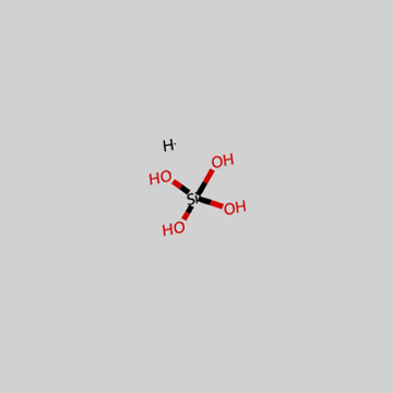 O[Si](O)(O)O.[H]